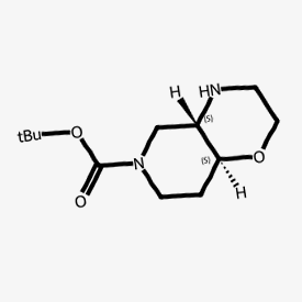 CC(C)(C)OC(=O)N1CC[C@@H]2OCCN[C@H]2C1